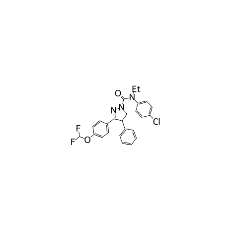 CCN(C(=O)N1CC(c2ccccc2)C(c2ccc(OC(F)F)cc2)=N1)c1ccc(Cl)cc1